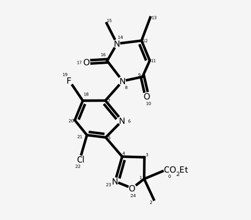 CCOC(=O)C1(C)CC(c2nc(-n3c(=O)cc(C)n(C)c3=O)c(F)cc2Cl)=NO1